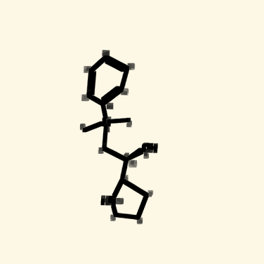 C[Si](C)(C[C@@H](O)C1CCCN1)c1ccccc1